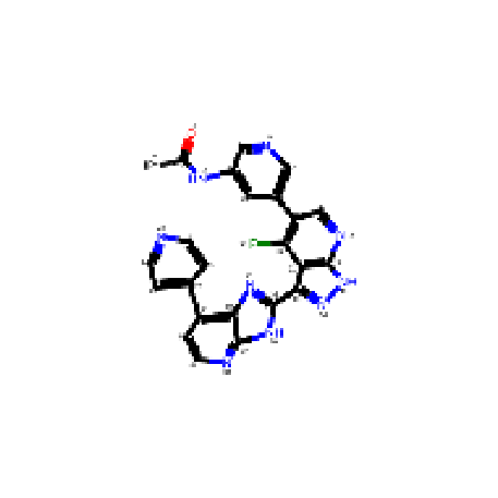 CC(C)C(=O)Nc1cncc(-c2cnc3[nH]nc(-c4nc5c(-c6ccncc6)ccnc5[nH]4)c3c2F)c1